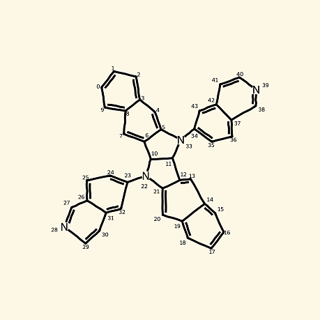 c1ccc2cc3c(cc2c1)C1C(c2cc4ccccc4cc2N1c1ccc2cnccc2c1)N3c1ccc2cnccc2c1